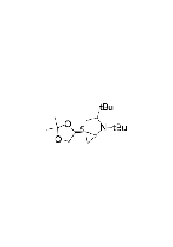 CC1(C)OCC([C@@]23CC(C(C)(C)C)N(C(C)(C)C)C2C3)O1